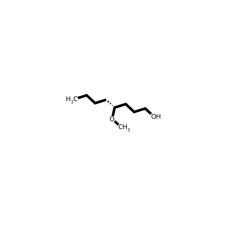 CCCC[C@H](CCCO)OC